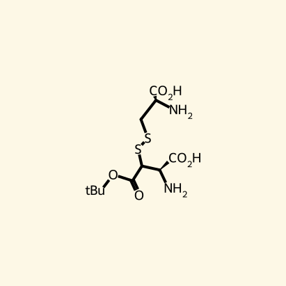 CC(C)(C)OC(=O)C(SSC[C@H](N)C(=O)O)[C@H](N)C(=O)O